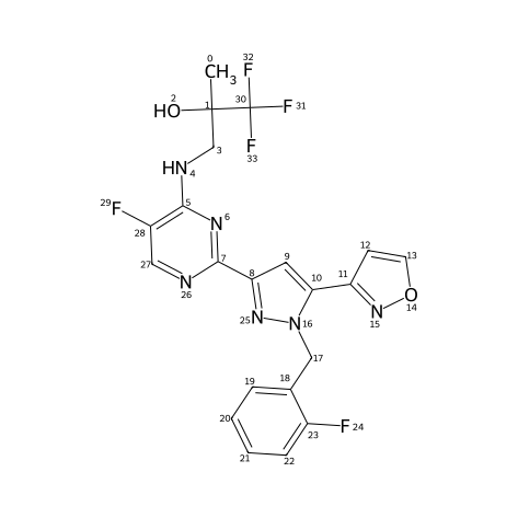 CC(O)(CNc1nc(-c2cc(-c3ccon3)n(Cc3ccccc3F)n2)ncc1F)C(F)(F)F